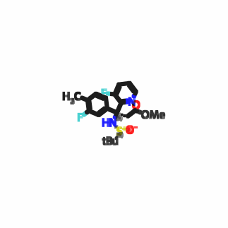 COC(=O)C[C@](N[S@+]([O-])C(C)(C)C)(c1ccc(C)c(F)c1)c1ncccc1F